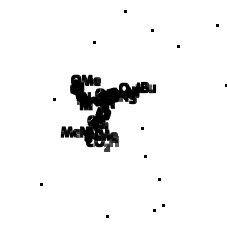 CNC(CNC(=O)OC1CCN(c2nc3cc(C(=O)Nc4nc(C(C)(C)C)cs4)ccn3c(=O)c2C=Cc2nnn(Cc3ccc(OC)cc3)n2)CC1)(CC(=O)O)NC